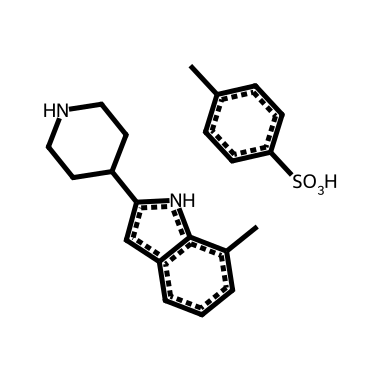 Cc1ccc(S(=O)(=O)O)cc1.Cc1cccc2cc(C3CCNCC3)[nH]c12